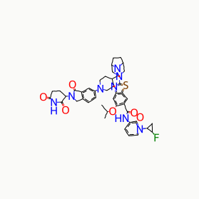 CC(C)Oc1cc2nc(N3CC4CCC(C3)N4CC3CCN(c4ccc5c(c4)C(=O)N(C4CCC(=O)NC4=O)C5)CC3)sc2cc1C(=O)Nc1cccn([C@H]2C[C@H]2F)c1=O